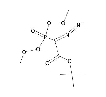 COOP(=O)(OOC)C(=[N+]=[N-])C(=O)OC(C)(C)C